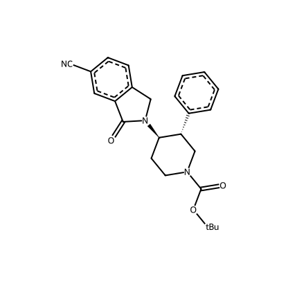 CC(C)(C)OC(=O)N1CC[C@@H](N2Cc3ccc(C#N)cc3C2=O)[C@H](c2ccccc2)C1